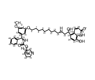 COc1cc(OCCCCCCCCCNC[C@@H](O)c2ccc(O)c3[nH]c(=O)ccc23)cc(C(NC(=O)O[C@H]2CN3CCC2CC3)c2ccccc2)c1